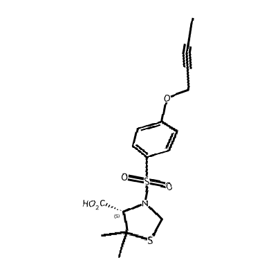 CC#CCOc1ccc(S(=O)(=O)N2CSC(C)(C)[C@@H]2C(=O)O)cc1